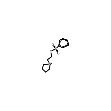 C[N+]1(CCOS(=O)(=O)c2ccccc2)CCCC1